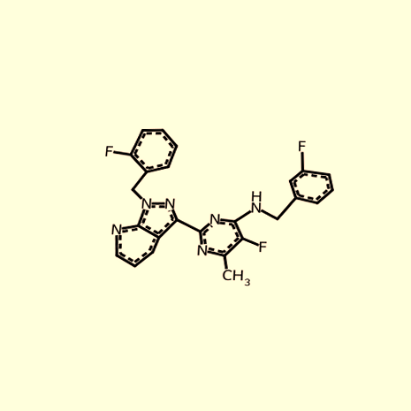 Cc1nc(-c2nn(Cc3ccccc3F)c3ncccc23)nc(NCc2cccc(F)c2)c1F